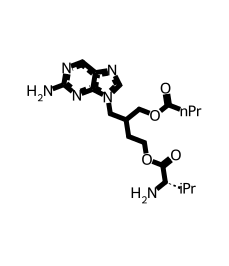 CCCC(=O)OCC(CCOC(=O)[C@@H](N)C(C)C)Cn1cnc2cnc(N)nc21